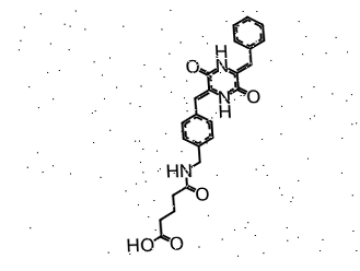 O=C(O)CCCC(=O)NCc1ccc(C=c2[nH]c(=O)c(=Cc3ccccc3)[nH]c2=O)cc1